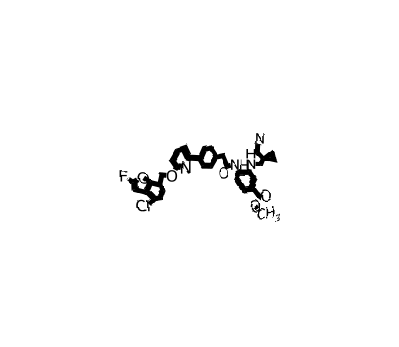 COC(=O)c1ccc(NC(=O)CC2CC=C(c3cccc(OCc4ccc(Cl)c5cc(F)oc45)n3)CC2)c(NCC2(CC#N)CC2)c1